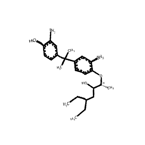 Bc1cc(C(C)(C)c2ccc(O[C@H](C)C(O)CC(CC)CC)c(B)c2)ccc1O